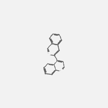 [c]1nc(-c2ccnc3ccccc23)cc2ccccc12